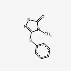 CN1C(=O)[N]N=C1Oc1ccccc1